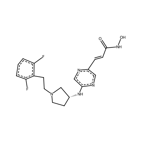 O=C(C=Cc1cnc(N[C@@H]2CCN(CCc3c(F)cccc3F)C2)cn1)NO